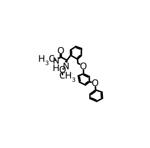 CNC(=O)/C(=N\OC)c1ccccc1COc1cccc(Oc2ccccc2)c1